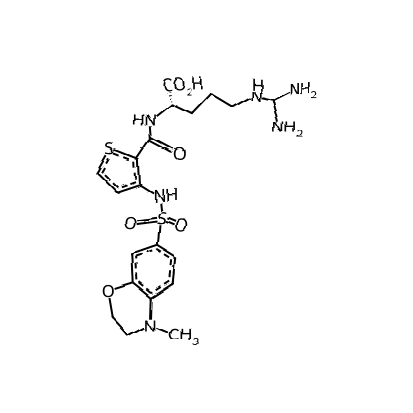 CN1CCOc2cc(S(=O)(=O)Nc3ccsc3C(=O)N[C@@H](CCCNC(N)N)C(=O)O)ccc21